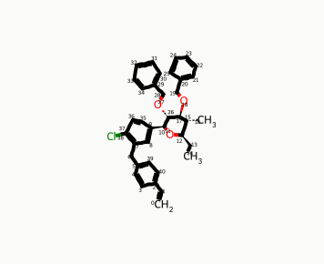 C=Cc1ccc(Cc2cc([C@@H]3O[C@H](CC)[C@@H](C)[C@H](OCc4ccccc4)[C@H]3OCc3ccccc3)ccc2Cl)cc1